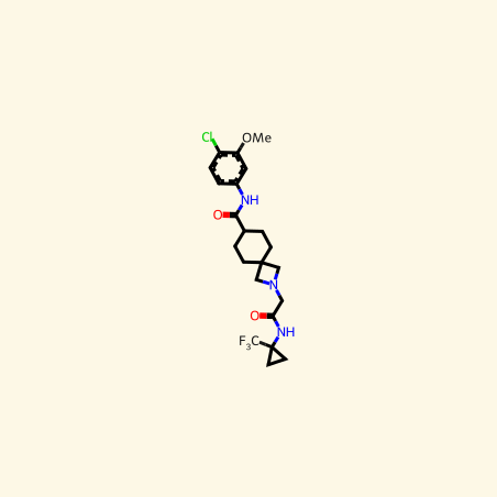 COc1cc(NC(=O)C2CCC3(CC2)CN(CC(=O)NC2(C(F)(F)F)CC2)C3)ccc1Cl